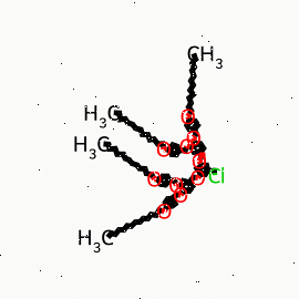 CCCCCCCCCCCCCCOc1ccc(COc2ccc(COc3cc(CCl)cc(OCc4ccc(OCc5ccc(OCCCCCCCCCCCCCC)cc5)c(OCc5ccc(OCCCCCCCCCCCCCC)cc5)c4)c3)cc2OCc2ccc(OCCCCCCCCCCCCCC)cc2)cc1